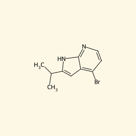 CC(C)c1cc2c(Br)ccnc2[nH]1